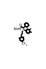 CNC(=O)C(c1ccccc1)N(CCCc1ccc(C(F)(F)F)cc1)c1ccc(C)c(C)c1